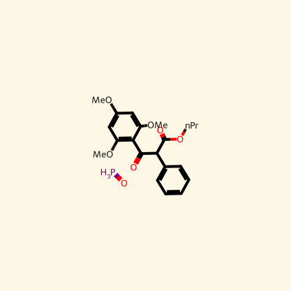 CCCOC(=O)C(C(=O)c1c(OC)cc(OC)cc1OC)c1ccccc1.O=[PH3]